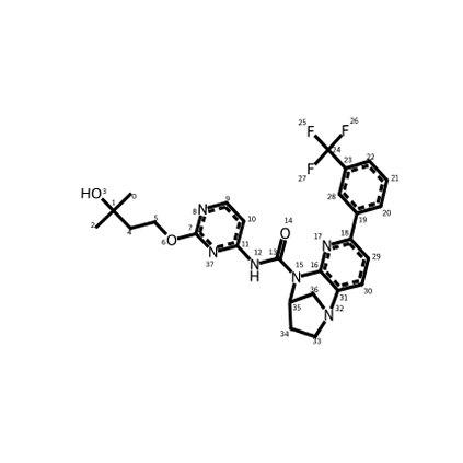 CC(C)(O)CCOc1nccc(NC(=O)N2c3nc(-c4cccc(C(F)(F)F)c4)ccc3N3CCC2C3)n1